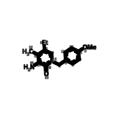 CCc1cn(Cc2ccc(OC)cc2)c(=O)c(N)c1C